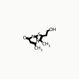 Cc1cc(=O)nc2sc(CCO)c(C)n12